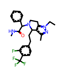 CCn1nc(C)c2c1CCN(C(C(=O)NC)c1ccccc1)C2CCc1ccc(C(F)(F)F)c(F)c1